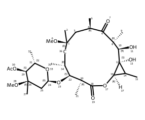 CO[C@@]1(C)C[C@@H](C)C(=O)[C@H](C)[C@@H](O)[C@@]2(O)C(C)[C@H]2OC(=O)[C@H](C)[C@@H](O[C@H]2C[C@@](C)(OC)[C@@H](OC(C)=O)[C@H](C)O2)[C@H](C)C1